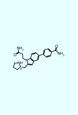 NC(=O)CCn1c(C[C@H]2CCCN2)cc2cc(-c3ccc(C(N)=O)cc3)ccc21